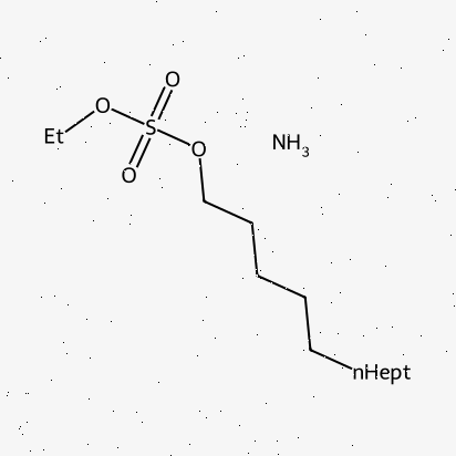 CCCCCCCCCCCCOS(=O)(=O)OCC.N